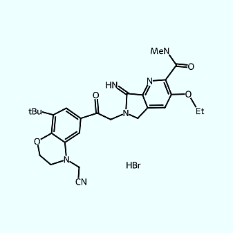 Br.CCOc1cc2c(nc1C(=O)NC)C(=N)N(CC(=O)c1cc3c(c(C(C)(C)C)c1)OCCN3CC#N)C2